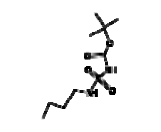 CCCCNS(=O)(=O)NC(=O)OC(C)(C)C